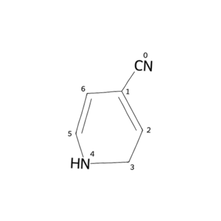 N#CC1=CCNC=C1